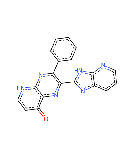 O=c1cc[nH]c2nc(-c3ccccc3)c(-c3nc4cccnc4[nH]3)nc12